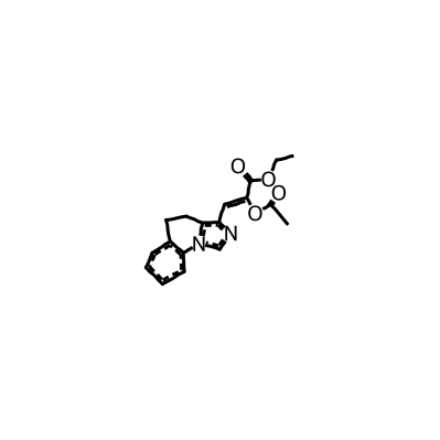 CCOC(=O)C(=Cc1ncn2c1CCc1ccccc1-2)OC(C)=O